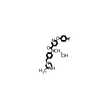 C[C@H]1CN(Cc2ccc(N(C)C(=O)c3ccc(Oc4ccc(F)cc4)nc3)cc2)CCN1.Cl